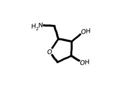 NCC1OCC(O)C1O